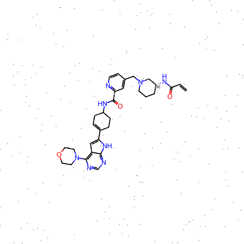 C=CC(=O)N[C@@H]1CCCN(Cc2ccnc(C(=O)NC3CC=C(c4cc5c(N6CCOCC6)ncnc5[nH]4)CC3)c2)C1